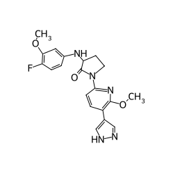 COc1cc(NC2CCN(c3ccc(-c4cn[nH]c4)c(OC)n3)C2=O)ccc1F